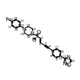 O=S(=O)(C=CC#Cc1ccc(-c2ncon2)cc1)N1CCN(c2ccc(F)cc2)CC1